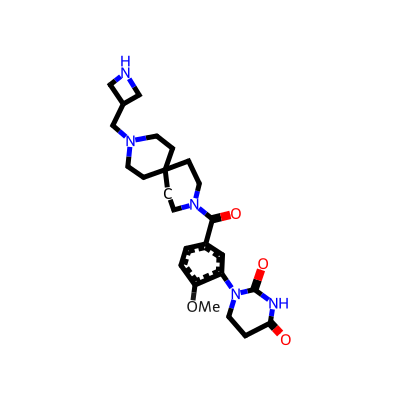 COc1ccc(C(=O)N2CCC3(CCN(CC4CNC4)CC3)CC2)cc1N1CCC(=O)NC1=O